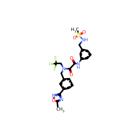 Cc1nc(-c2cccc(CN(CC(F)(F)F)C(=O)C(=O)Nc3cccc(CNS(C)(=O)=O)c3)c2)no1